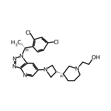 C[C@H](c1ccc(Cl)cc1Cl)n1nnc2ncc(N3CC([C@H]4CCCN(CCO)C4)C3)cc21